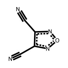 N#Cc1nonc1C#N